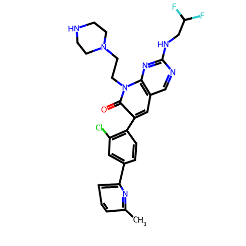 Cc1cccc(-c2ccc(-c3cc4cnc(NCC(F)F)nc4n(CCN4CCNCC4)c3=O)c(Cl)c2)n1